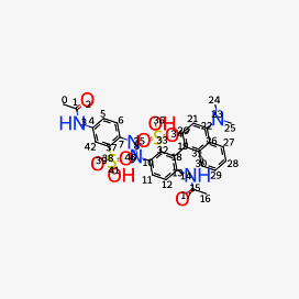 CC(=O)Nc1ccc(N=Nc2ccc(NC(C)=O)c(-c3ccc(N(C)C)c4ccccc34)c2S(=O)(=O)O)c(S(=O)(=O)O)c1